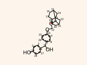 Oc1ccc(C(O)c2ccc(OCOC3C4CCC5CCC3CC5C4)cc2)cc1